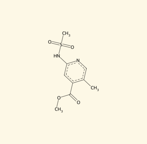 COC(=O)c1cc(NS(C)(=O)=O)ncc1C